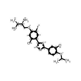 CC(C)Oc1ccc(-c2nnc(-c3cc(F)c(OC[C@H](N)[C@H](C)O)cc3Cl)s2)cc1Cl